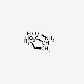 C=CC.CCOC(N)=O.O=C(O)O